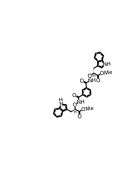 COC(=O)[C@@H](Cc1c[nH]c2ccccc12)ONC(=O)c1cccc(C(=O)NO[C@H](Cc2c[nH]c3ccccc23)C(=O)OC)c1